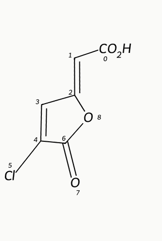 O=C(O)C=C1C=C(Cl)C(=O)O1